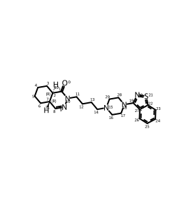 O=C1[C@@H]2CCCC[C@H]2C=NN1CCCCN1CCN(c2nsc3ccccc23)CC1